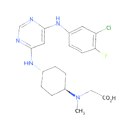 CN(CC(=O)O)[C@H]1CC[C@H](Nc2cc(Nc3ccc(F)c(Cl)c3)ncn2)CC1